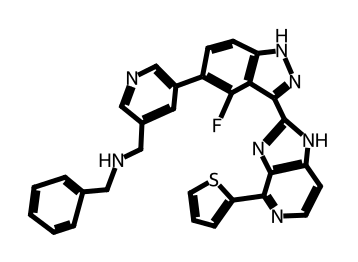 Fc1c(-c2cncc(CNCc3ccccc3)c2)ccc2[nH]nc(-c3nc4c(-c5cccs5)nccc4[nH]3)c12